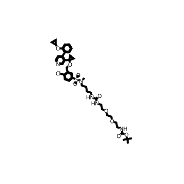 CN(CCCCNC(=O)NCCOCCOCCNC(=O)OC(C)(C)C)S(=O)(=O)c1ccc(Cl)c(COC2(c3cnccc3-c3ccccc3OC3CC3)CC2)c1